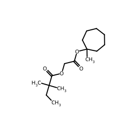 CCC(C)(C)C(=O)OCC(=O)OC1(C)CCCCCC1